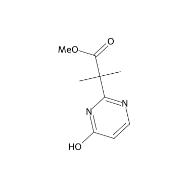 COC(=O)C(C)(C)c1nccc(O)n1